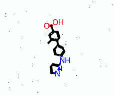 Cc1cc(C(=O)O)ccc1-c1ccc(Nc2cccnn2)cc1